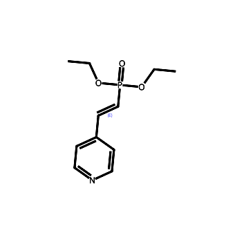 CCOP(=O)(/C=C/c1ccncc1)OCC